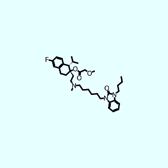 CCCCn1c(=O)n(CCCCCCN(C)CC[C@@]2(OC(=O)COC)CCc3cc(F)ccc3[C@@H]2C(C)C)c2ccccc21